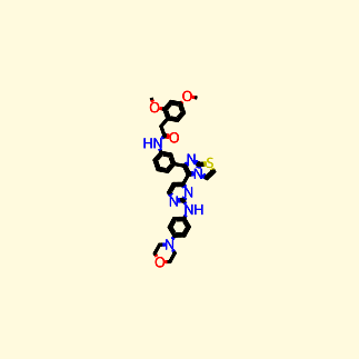 COc1ccc(CC(=O)Nc2cccc(-c3nc4sccn4c3-c3ccnc(Nc4ccc(N5CCOCC5)cc4)n3)c2)c(OC)c1